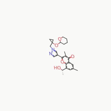 Cc1cc([C@H](C)O)c2oc(-c3cnn(CC4(OC5CCCCO5)CC4)c3)c(C)c(=O)c2c1